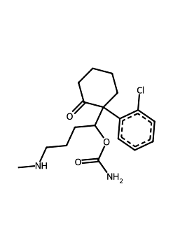 CNCCCC(OC(N)=O)C1(c2ccccc2Cl)CCCCC1=O